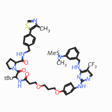 CSN(C)c1cccc(CNc2nc(Nc3ccc(OCCCOCCC(=O)NC(C(=O)N4CCCC4C(=O)NCc4ccc(-c5scnc5C)cc4)C(C)(C)C)cc3)ncc2C(F)(F)F)c1